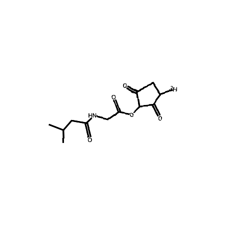 [2H]C1CC(=O)C(OC(=O)CNC(=O)CC(C)C)C1=O